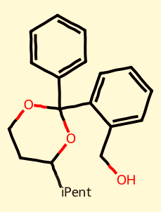 CCCC(C)C1CCOC(c2ccccc2)(c2ccccc2CO)O1